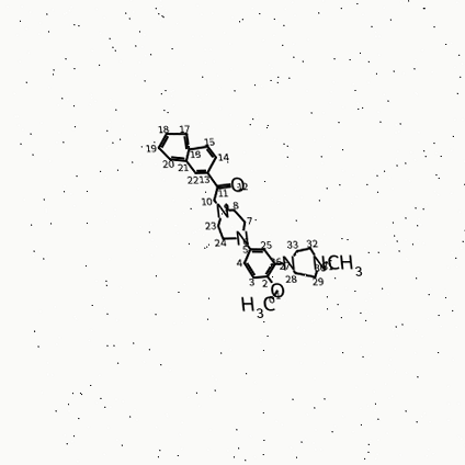 COc1ccc(N2CCN(CC(=O)c3ccc4ccccc4c3)CC2)cc1N1CCN(C)CC1